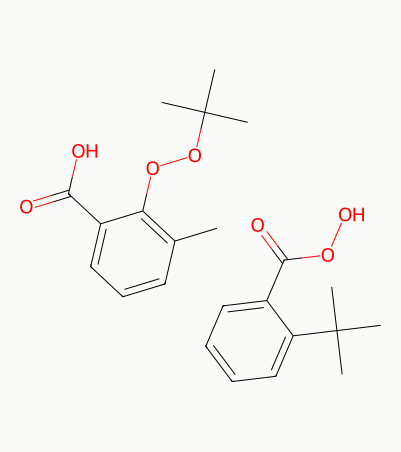 CC(C)(C)c1ccccc1C(=O)OO.Cc1cccc(C(=O)O)c1OOC(C)(C)C